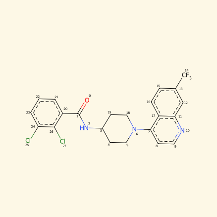 O=C(NC1CCN(c2ccnc3cc(C(F)(F)F)ccc23)CC1)c1cccc(Cl)c1Cl